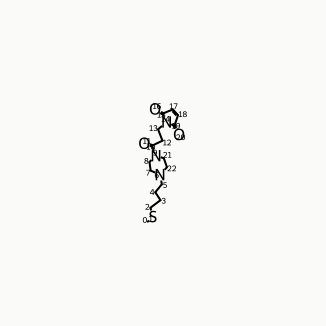 CSCCCCN1CCN(C(=O)CCN2C(=O)C=CC2=O)CC1